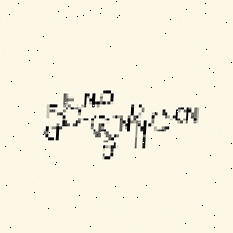 N#Cc1ccc(NC(=O)N2Cc3c(C(N)=O)c(-c4ccc(F)c(Cl)c4)nn3C3(COC3)C2)cc1